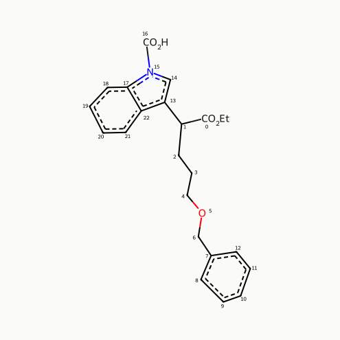 CCOC(=O)C(CCCOCc1ccccc1)c1cn(C(=O)O)c2ccccc12